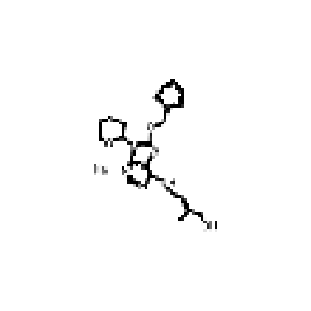 C/C(=C\CNc1ncnc2c1nc(OCc1ccccc1)n2C1CCCCO1)CO.[NaH]